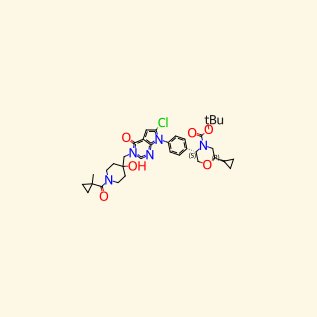 CC(C)(C)OC(=O)N1C[C@@H](C2CC2)OC[C@@H]1c1ccc(-n2c(Cl)cc3c(=O)n(CC4(O)CCN(C(=O)C5(C)CC5)CC4)cnc32)cc1